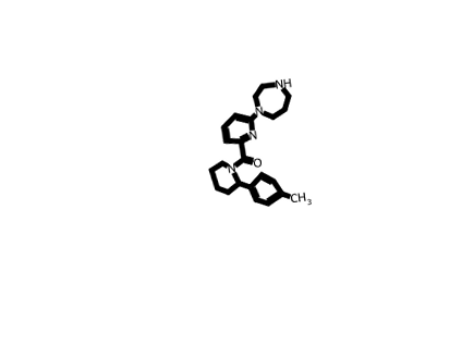 Cc1ccc(C2CCCCN2C(=O)c2cccc(N3CCCNCC3)n2)cc1